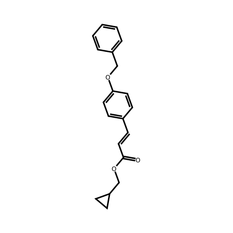 O=C(C=Cc1ccc(OCc2ccccc2)cc1)OCC1CC1